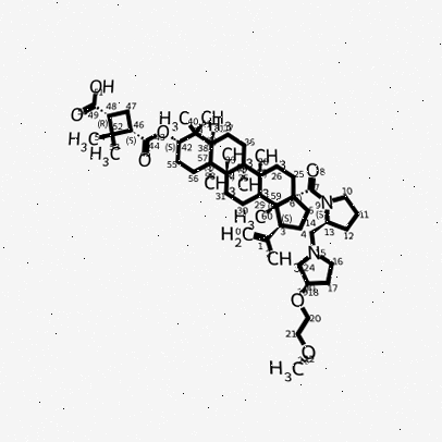 C=C(C)[C@@H]1CC[C@]2(C(=O)N3CCC[C@H]3CN3CC[C@@H](OCCOC)C3)CC[C@]3(C)C(CC[C@@]4(C)[C@@]3(C)CC[C@H]3C(C)(C)[C@@H](OC(=O)[C@H]5C[C@@H](C(=O)O)C5(C)C)CC[C@@]34C)[C@@]12C